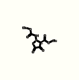 CC(C)(C)OC(=O)NN1SC(=O)C(=O)[C@@H]1C(=O)OC(C)(C)C